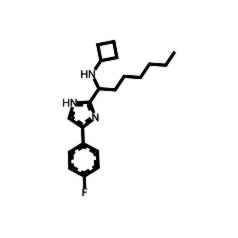 CCCCCCC(NC1CCC1)c1nc(-c2ccc(F)cc2)c[nH]1